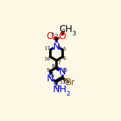 COC(=O)N1CCC(c2cnc(N)c(Br)n2)CC1